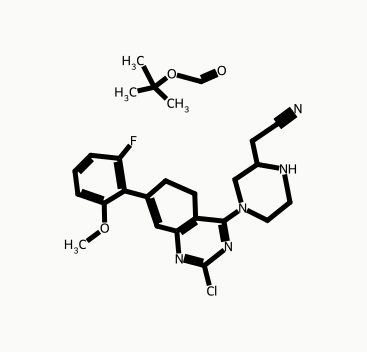 CC(C)(C)OC=O.COc1cccc(F)c1C1=Cc2nc(Cl)nc(N3CCNC(CC#N)C3)c2CC1